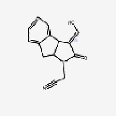 N#CCN1C(=O)/C(=C/O)C2c3ccccc3CC21